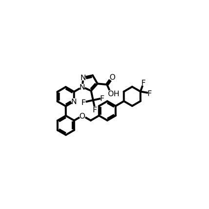 O=C(O)c1cnn(-c2cccc(-c3ccccc3OCc3ccc(C4CCC(F)(F)CC4)cc3)n2)c1C(F)(F)F